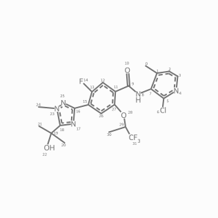 Cc1ccnc(Cl)c1NC(=O)c1cc(F)c(-c2nc(C(C)(C)O)n(C)n2)cc1OC(C)C(F)(F)F